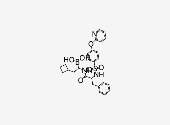 O=C(N[C@@H](CC1CCC1)B(O)O)[C@H](Cc1ccccc1)NS(=O)(=O)c1ccc(Oc2ccccn2)cc1